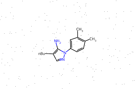 CCCCc1cnn(-c2ccc(C)c(C)c2)c1N